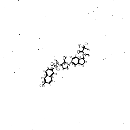 CN(C(=O)C(F)(F)F)C1CCc2cc(N3CC[C@H](N(C)S(=O)(=O)c4ccc5cc(Cl)ccc5c4)C3=O)ccc21